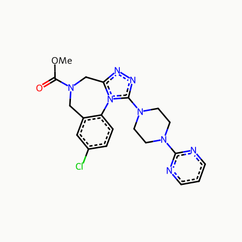 COC(=O)N1Cc2cc(Cl)ccc2-n2c(nnc2N2CCN(c3ncccn3)CC2)C1